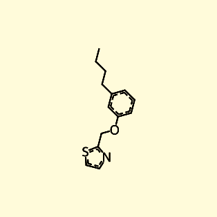 CCCCc1cccc(OCc2nccs2)c1